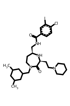 CC1CC(C)CC(CN2CC[C@@H](CNC(=O)c3ccc(Cl)c(I)c3)N[C@@H](CCN3CCCCC3)C2=O)C1